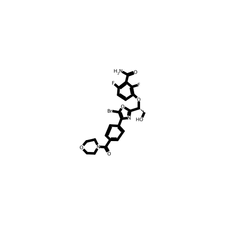 NC(=O)c1c(F)ccc(O[C@H](CO)c2nc(-c3ccc(C(=O)N4CCOCC4)cc3)c(Br)o2)c1F